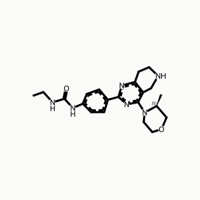 CCNC(=O)Nc1ccc(-c2nc3c(c(N4CCOC[C@@H]4C)n2)CNCC3)cc1